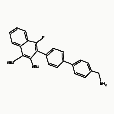 CCCCc1c(-c2ccc(-c3ccc(CN)cc3)cc2)c(F)c2ccccc2c1CCCC